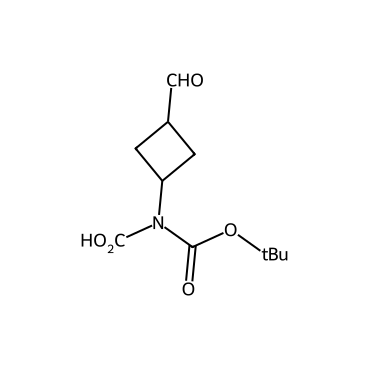 CC(C)(C)OC(=O)N(C(=O)O)C1CC(C=O)C1